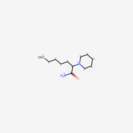 NC(=O)C(CCCCC=O)N1CCCCC1